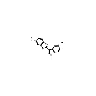 COc1ccc2c(c1)CC(c1c[nH]c3ccc(OC)cc13)N2